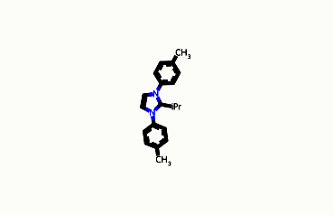 Cc1ccc(N2C=CN(c3ccc(C)cc3)C2C(C)C)cc1